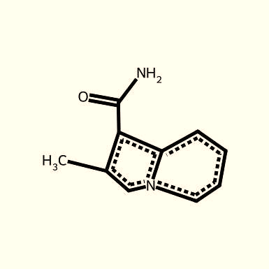 Cc1cn2ccccc2c1C(N)=O